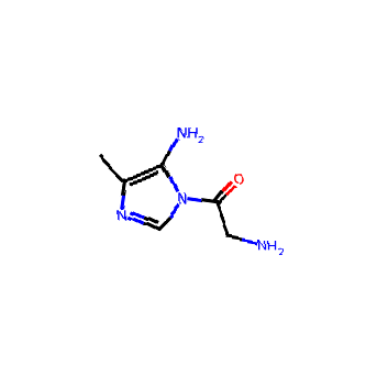 Cc1ncn(C(=O)CN)c1N